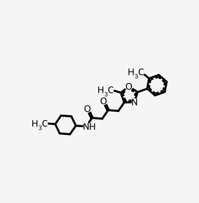 Cc1ccccc1-c1nc(CC(=O)CC(=O)NC2CCC(C)CC2)c(C)o1